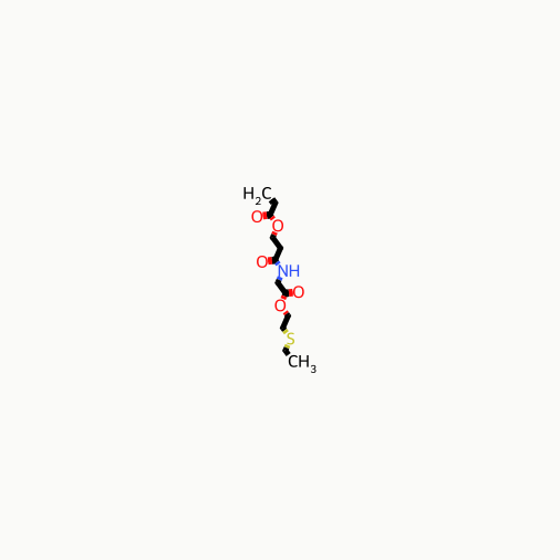 C=CC(=O)OCCC(=O)NCC(=O)OCCSCC